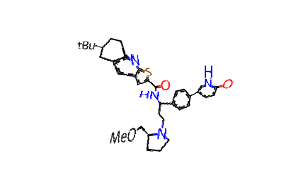 COC[C@@H]1CCCN1CCC(NC(=O)c1cc2cc3c(nc2s1)CC[C@H](C(C)(C)C)C3)c1ccc(-c2ccc(=O)[nH]c2)cc1